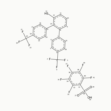 FC(F)(F)c1ccc(-c2cccc(S)c2-c2ccc(C(F)(F)F)cc2)cc1.O=S(=O)(O)c1c(F)c(F)c(F)c(F)c1F